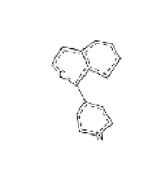 c1ccc2c(-c3ccncc3)cccc2c1